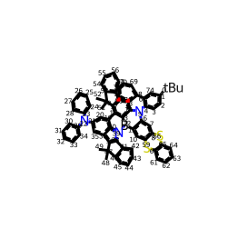 CC(C)(C)c1ccc(N2c3cc4c(cc3B3c5c2cc2c(c5-c5cc(N(c6ccccc6)c6ccccc6)cc6c7c(n3c56)-c3ccccc3C7(C)C)C(C)(C)c3ccccc3-2)Sc2ccccc2S4)c(-c2ccccc2)c1